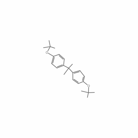 CC(C)(C)Oc1ccc(C(C)(C)c2ccc(OC(C)(C)C)cc2)cc1